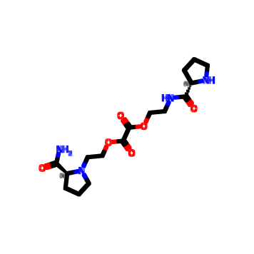 NC(=O)[C@@H]1CCCN1CCOC(=O)C(=O)OCCNC(=O)[C@@H]1CCCN1